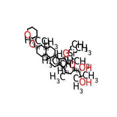 CC[Si](CC)(CC)O[C@H]1[C@H]2O[C@@H]([C@H](O)C(C)(C)O)C[C@@H](C)[C@@H]2[C@@]2(C)CC[C@@]34C[C@@]35CC[C@H](O[C@H]3CCCCO3)C(C)(C)[C@@H]5CC[C@H]4[C@]12C